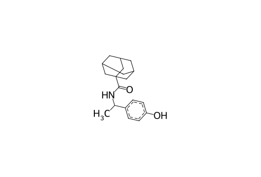 CC(NC(=O)C12CC3CC(CC(C3)C1)C2)c1ccc(O)cc1